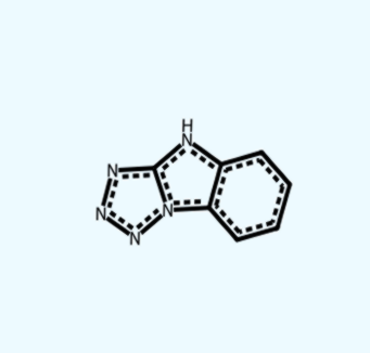 c1ccc2c(c1)[nH]c1nnnn12